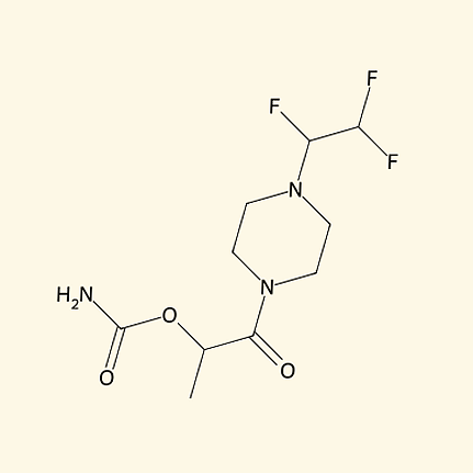 CC(OC(N)=O)C(=O)N1CCN(C(F)C(F)F)CC1